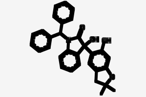 CC1(C)Cc2cc(C3(O)C(=O)N(C(c4ccccc4)c4ccccc4)c4ccccc43)c(O)cc2O1